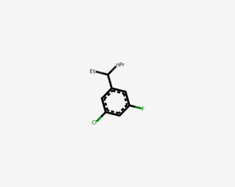 CCCC(CC)c1cc(F)cc(Cl)c1